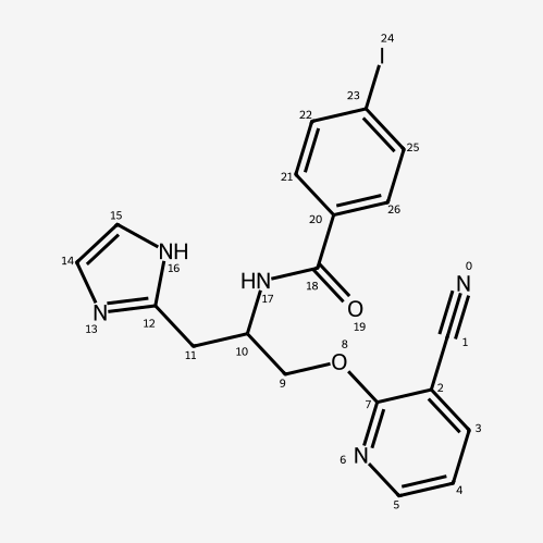 N#Cc1cccnc1OCC(Cc1ncc[nH]1)NC(=O)c1ccc(I)cc1